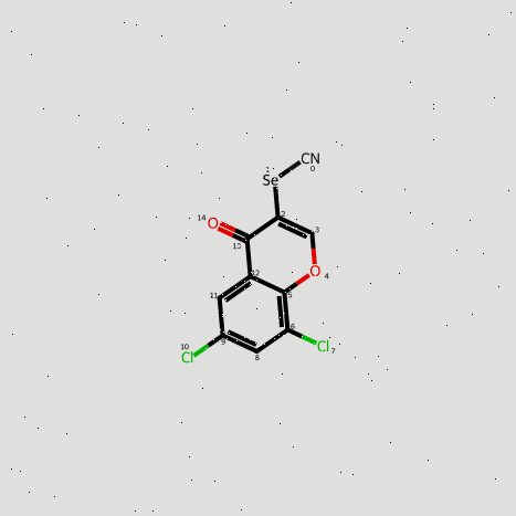 N#C[Se]c1coc2c(Cl)cc(Cl)cc2c1=O